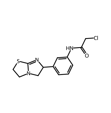 O=C(CCl)Nc1cccc(C2CN3CCSC3=N2)c1